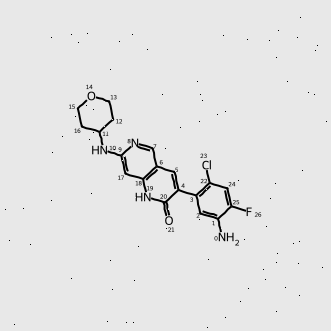 Nc1cc(-c2cc3cnc(NC4CCOCC4)cc3[nH]c2=O)c(Cl)cc1F